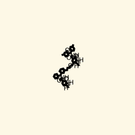 Cc1ccc2c(c1)Oc1cc(C)ccc1C2NC(=O)c1cc(COCCCc2cccc(C(NC(=O)c3ccc(C(F)(F)F)[nH]c3=O)c3ccccc3)c2)c(C(F)(F)F)[nH]c1=O